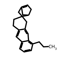 CCCc1cccc2cc3c(cc12)CC1(CC3)CC2=CCC1C2